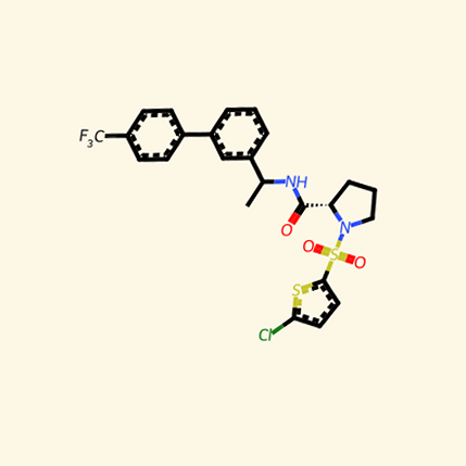 CC(NC(=O)[C@@H]1CCCN1S(=O)(=O)c1ccc(Cl)s1)c1cccc(-c2ccc(C(F)(F)F)cc2)c1